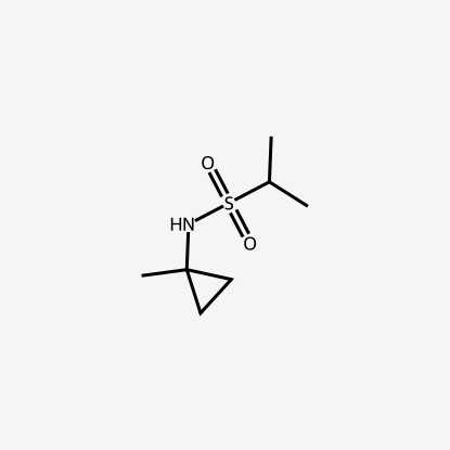 CC(C)S(=O)(=O)NC1(C)CC1